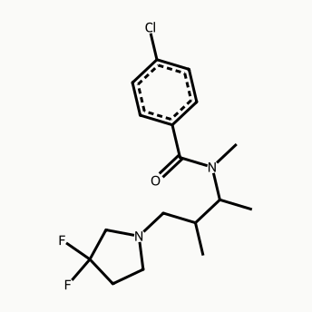 CC(CN1CCC(F)(F)C1)C(C)N(C)C(=O)c1ccc(Cl)cc1